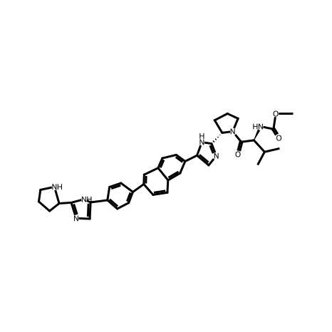 COC(=O)N[C@H](C(=O)N1CCC[C@H]1c1ncc(-c2ccc3cc(-c4ccc(-c5cnc(C6CCCN6)[nH]5)cc4)ccc3c2)[nH]1)C(C)C